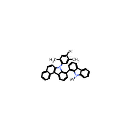 Cc1cc(-n2c3ccc4ccccc4c3c3cccc(-c4cccc5c6ccccc6n(C(C)C)c45)c32)c(C)cc1C(C)C